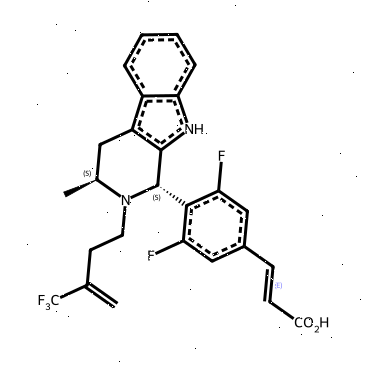 C=C(CCN1[C@@H](c2c(F)cc(/C=C/C(=O)O)cc2F)c2[nH]c3ccccc3c2C[C@@H]1C)C(F)(F)F